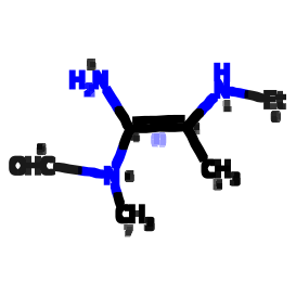 CCN/C(C)=C(\N)N(C)C=O